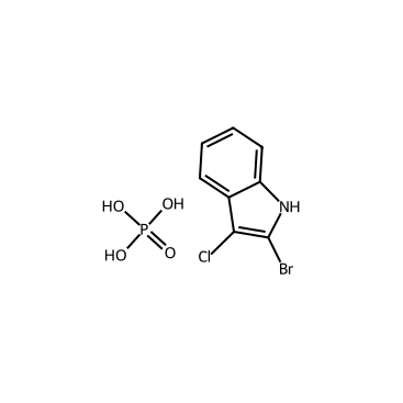 Clc1c(Br)[nH]c2ccccc12.O=P(O)(O)O